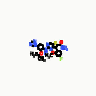 COc1cc(F)ccc1-c1c(C(N)=O)sc2cnc(Nc3ccc(-n4cncn4)cc3OC(C)C)nc12